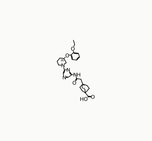 CCOc1ccccc1O[C@@H]1CCCN(c2cncc(NC(=O)CC34CCC(C(=O)O)(CC3)CC4)n2)C1